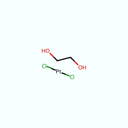 OCCO.[Cl][Pt][Cl]